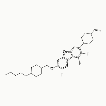 C=CC1CCC(c2cc3oc4cc(OCC5CCC(CCCCC)CC5)c(F)cc4c3c(F)c2F)CC1